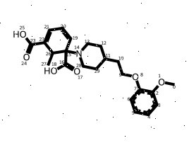 COc1ccccc1OCCC1CCN(C2(C(=O)O)C=CC=C(C(=O)O)C2C)CC1